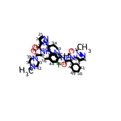 CCn1nccc1N(C=O)[C@H](C(=O)Nc1ccc(C[C@@H](NC(=O)c2ccnn2C2CCN(C)CC2)C(=O)N2CCN(C)CC2)cc1F)C1CCCCC1